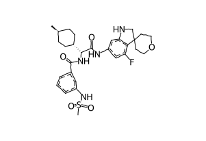 CS(=O)(=O)Nc1cccc(C(=O)NC(C(=O)Nc2cc(F)c3c(c2)NCC32CCOCC2)[C@H]2CC[C@H](C)CC2)c1